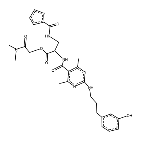 Cc1nc(NCCCc2cccc(O)c2)nc(C)c1C(=O)NC(CNC(=O)c1cccs1)C(=O)OCC(=O)N(C)C